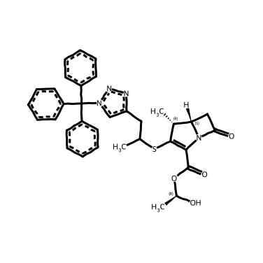 CC(Cc1cn(C(c2ccccc2)(c2ccccc2)c2ccccc2)nn1)SC1=C(C(=O)O[C@H](C)O)N2C(=O)C[C@H]2[C@H]1C